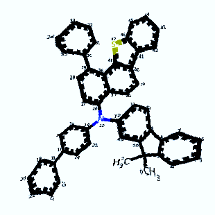 CC1(C)c2ccccc2-c2ccc(N(c3ccc(-c4ccccc4)cc3)c3ccc(-c4ccccc4)c4c3ccc3c5ccccc5sc34)cc21